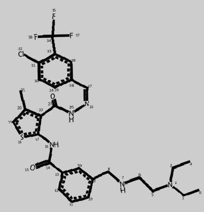 CCN(CC)CCNCc1cccc(C(=O)Nc2scc(C)c2C(=O)N/N=C\c2ccc(Cl)c(C(F)(F)F)c2)c1